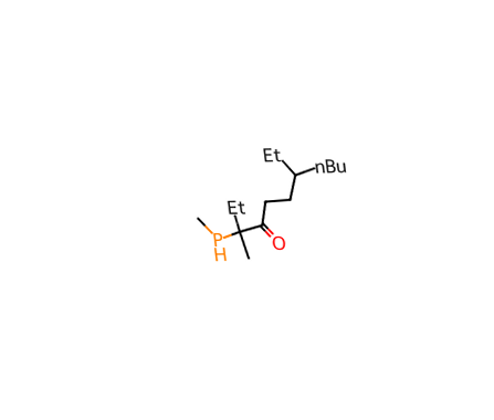 CCCCC(CC)CCC(=O)C(C)(CC)PC